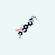 Cc1cn2cc(-c3cc(F)c4c(=O)n([C@@H]5CNC[C@H]5O)ccc4c3)cc(F)c2n1